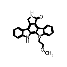 COCCn1c2ccccc2c2c3c(c4c5ccccc5[nH]c4c21)CNC3=O